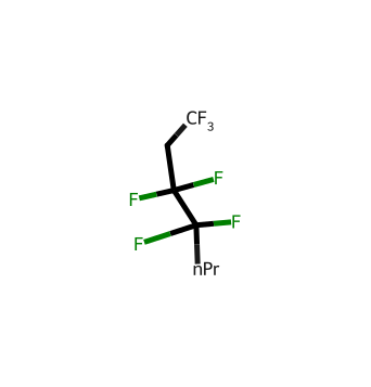 [CH2]CCC(F)(F)C(F)(F)CC(F)(F)F